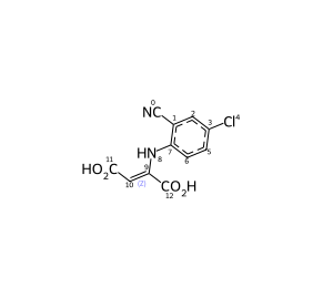 N#Cc1cc(Cl)ccc1N/C(=C\C(=O)O)C(=O)O